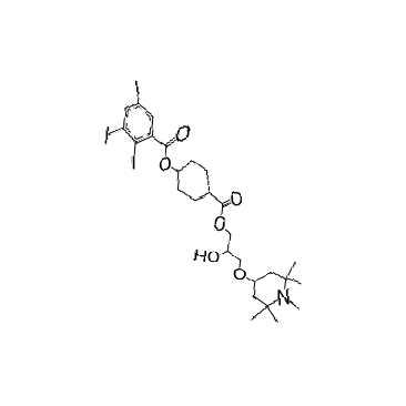 CN1C(C)(C)CC(OCC(O)COC(=O)C2CCC(OC(=O)c3cc(I)cc(I)c3I)CC2)CC1(C)C